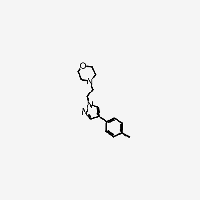 Cc1ccc(-c2cnn(CCN3CCOCC3)c2)cc1